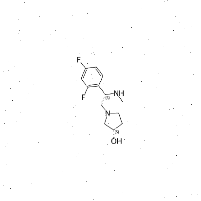 CN[C@H](CN1CC[C@H](O)C1)c1ccc(F)cc1F